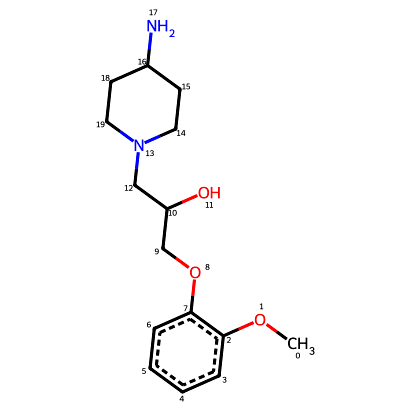 COc1ccccc1OCC(O)CN1CCC(N)CC1